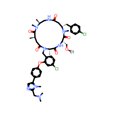 CCOC[C@@H]1NC(=O)[C@H](C)N(Cc2ccc(Cl)cc2Oc2ccc(-c3cnc(CN(C)C)n3C)cc2)C(=O)C[C@@H](C)C(=O)N(C)[C@@H](C)CNC(=O)C[C@H](Cc2ccc(Cl)cc2)N(C)C1=O